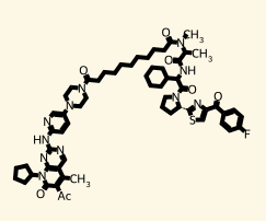 CC(=O)c1c(C)c2cnc(Nc3ccc(N4CCN(C(=O)CCCCCCCCCC(=O)N(C)C(C)C(=O)NC(C(=O)N5CCC[C@H]5c5nc(C(=O)c6ccc(F)cc6)cs5)C5CCCCC5)CC4)cn3)nc2n(C2CCCC2)c1=O